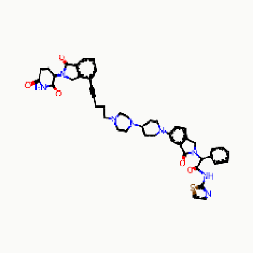 O=C1CCC(N2Cc3c(C#CCCCN4CCN(C5CCN(c6ccc7c(c6)C(=O)N(C(C(=O)Nc6nccs6)c6ccccc6)C7)CC5)CC4)cccc3C2=O)C(=O)N1